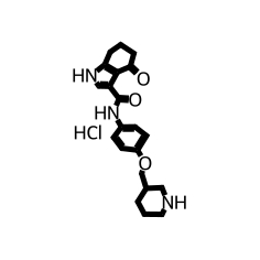 Cl.O=C(Nc1ccc(OCC2CCCNC2)cc1)c1c[nH]c2c1C(=O)CCC2